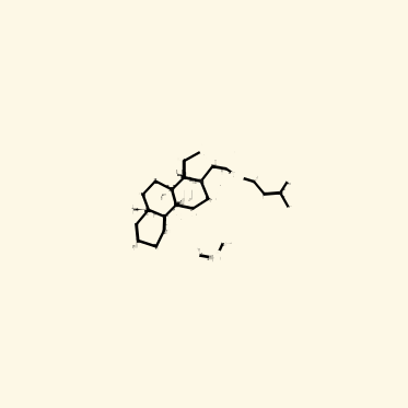 CC(C)CCC[C@@H](C)[C@H]1CC[C@H]2[C@@H]3CC[C@H]4C[C@@H](O)CC[C@]4(C)[C@H]3CC[C@]12C.COC